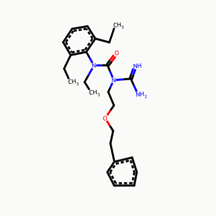 CCc1cccc(CC)c1N(CC)C(=O)N(CCOCCc1ccccc1)C(=N)N